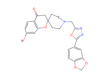 O=C1CC2(CCN(Cc3nnc(-c4ccc5c(c4)OCO5)o3)CC2)Oc2cc(Br)ccc21